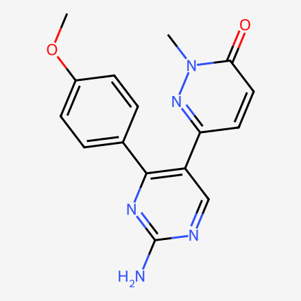 COc1ccc(-c2nc(N)ncc2-c2ccc(=O)n(C)n2)cc1